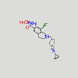 O=C(NO)c1cc(F)c2c(c1)CCN(CC1CCC3(CC1)CN(C1CC1)C3)C2